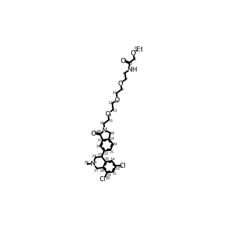 CCOCC(=O)NCCOCCOCCOCCN1Cc2ccc(C3CN(C)Cc4c(Cl)cc(Cl)cc43)cc2C1=O